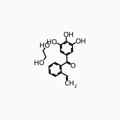 C=Cc1ccccc1C(=O)c1cc(O)c(O)c(O)c1.OCCO